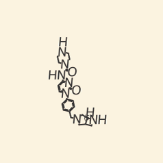 O=C(Nc1ccn(-c2ccc(CN3CC4CN[C@@H]4C3)cc2)c(=O)n1)N1CCNCC1